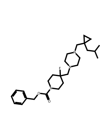 CC(C)CC1(CN2CCN(CC3(F)CCN(C(=O)OCc4ccccc4)CC3)CC2)CC1